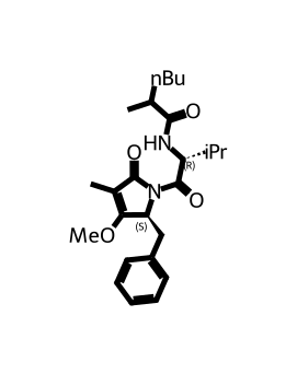 CCCCC(C)C(=O)N[C@@H](C(=O)N1C(=O)C(C)=C(OC)[C@@H]1Cc1ccccc1)C(C)C